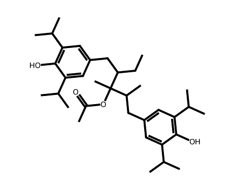 CCC(Cc1cc(C(C)C)c(O)c(C(C)C)c1)C(C)(OC(C)=O)C(C)Cc1cc(C(C)C)c(O)c(C(C)C)c1